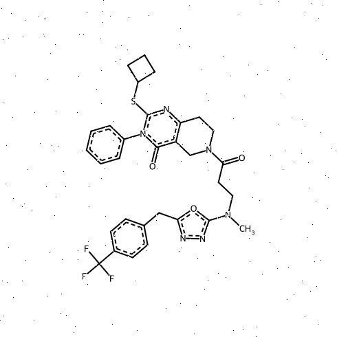 CN(CCC(=O)N1CCc2nc(SC3CCC3)n(-c3ccccc3)c(=O)c2C1)c1nnc(Cc2ccc(C(F)(F)F)cc2)o1